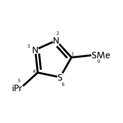 CSc1nnc(C(C)C)s1